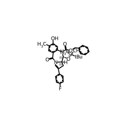 Cc1cc2c(cc1O)N(C(=O)OCc1ccccc1)[C@@H](O[Si](C)(C)C(C)(C)C)[C@@H]1CC(c3ccc(F)cc3)=CN1C2=O